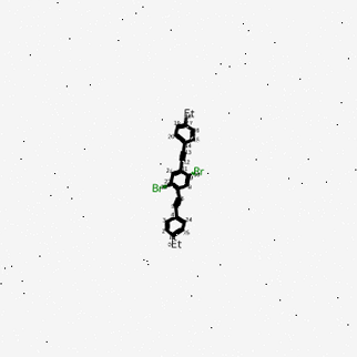 CCc1ccc(C#Cc2cc(Br)c(C#Cc3ccc(CC)cc3)cc2Br)cc1